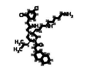 CC(C)C[C@@H]1CN(C[C@@H](N)Cc2ccc(Cl)cc2Cl)[C@@H](CCCNCCCCCN)CN1C(=O)Cc1ccc2ccccc2c1